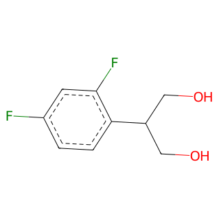 OCC(CO)c1ccc(F)cc1F